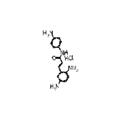 Cl.Nc1ccc(NC(=O)C=Cc2cc(N)ccc2N)cc1